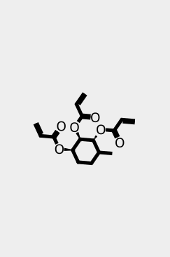 C=CC(=O)O[C@H]1[C@H](OC(=O)C=C)C(C)CC[C@H]1OC(=O)C=C